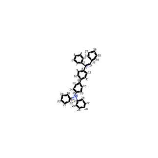 C(=C(/c1ccccc1)c1ccc(-c2ccc(N(c3ccccc3)c3ccccc3)cc2)cc1)/c1ccccc1